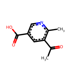 CC(=O)c1cc(C(=O)O)cnc1C